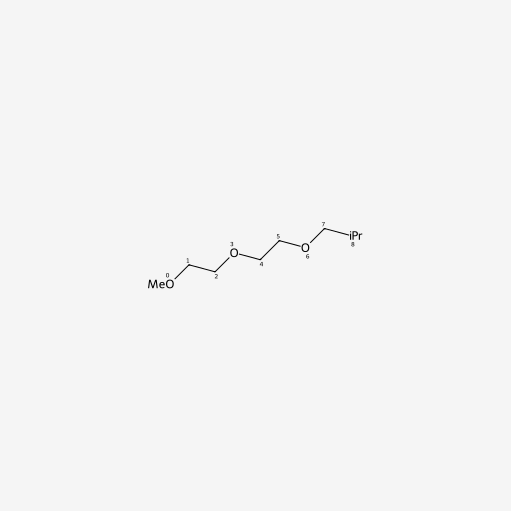 COCCOCCOCC(C)C